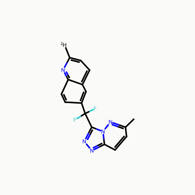 [2H]c1ccc2cc(C(F)(F)c3nnc4ccc(C)nn34)ccc2n1